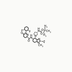 Cn1c(C2CC2)nc2c(N3CC[C@H](NC(=O)OC(C)(C)C)C3)c(NC(=O)c3ccc(=O)n(-c4c(F)cccc4F)n3)ccc21